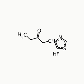 CCC(=O)CC.F.c1cscn1